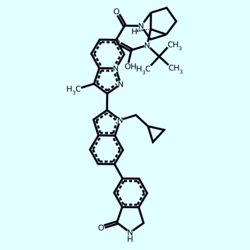 Cc1c(-c2cc3ccc(-c4ccc5c(c4)C(=O)NC5)cc3n2CC2CC2)nn2cc(C(=O)N3CC4CCC3[C@@H]4N(C(=O)O)C(C)(C)C)ccc12